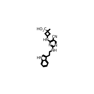 CC1(C(=O)O)CC(Nc2nc(NCCc3c[nH]c4ccccc34)ncc2C#N)C1